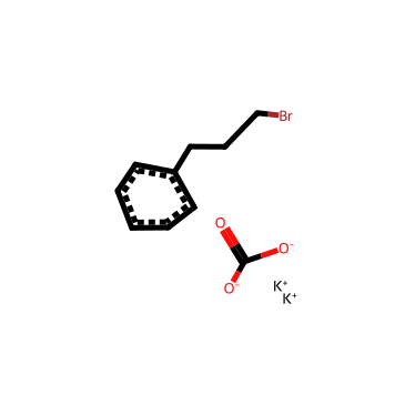 BrCCCc1ccccc1.O=C([O-])[O-].[K+].[K+]